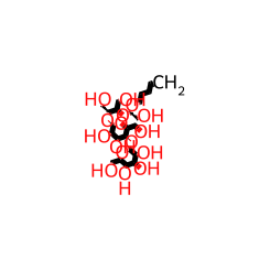 C=CCCCO[C@@H](CO)OC(CO)[C@H](CO)O[C@@H]1OC(CO)[C@H](O[C@H]2OC(CO)[C@H](O)C(O)C2O)C(O)C1O